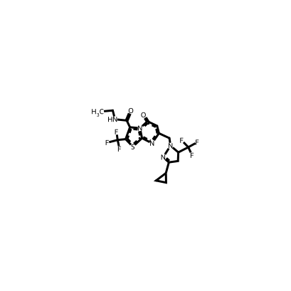 CCNC(=O)c1c(C(F)(F)F)sc2nc(CN3N=C(C4CC4)CC3C(F)(F)F)cc(=O)n12